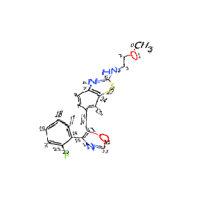 COCCNc1nc2ccc(-c3ocnc3-c3ccccc3F)cc2s1